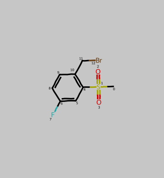 CS(=O)(=O)c1cc(F)ccc1CBr